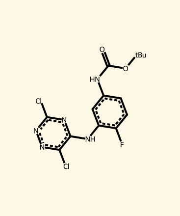 CC(C)(C)OC(=O)Nc1ccc(F)c(Nc2nc(Cl)nnc2Cl)c1